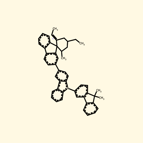 C/C=C1\CC(CC)CC(C)C12c1ccccc1-c1ccc(-c3ccc4c(c3)c3ccccc3n4-c3ccc4c(c3)-c3ccccc3C4(C)C)cc12